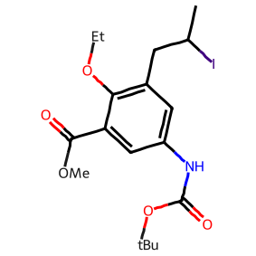 CCOc1c(CC(C)I)cc(NC(=O)OC(C)(C)C)cc1C(=O)OC